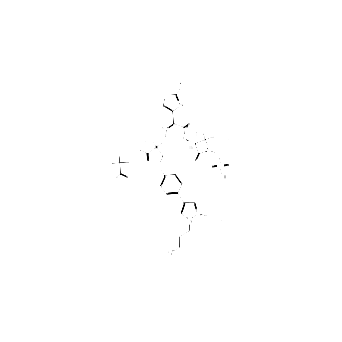 C[n+]1cc(-c2ccc(OCC(C)(O/N=C(\C(=O)N[C@@H]3C(=O)N(OS(=O)(=O)O)C3(C)C)c3csc(N)n3)C(=O)O)cc2)cn1CCCN.O=C([O-])C(F)(F)F